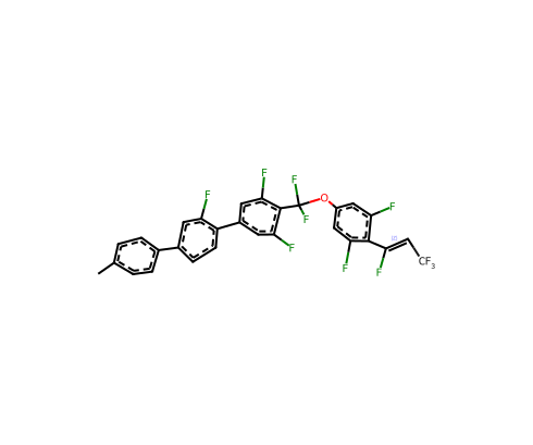 Cc1ccc(-c2ccc(-c3cc(F)c(C(F)(F)Oc4cc(F)c(/C(F)=C/C(F)(F)F)c(F)c4)c(F)c3)c(F)c2)cc1